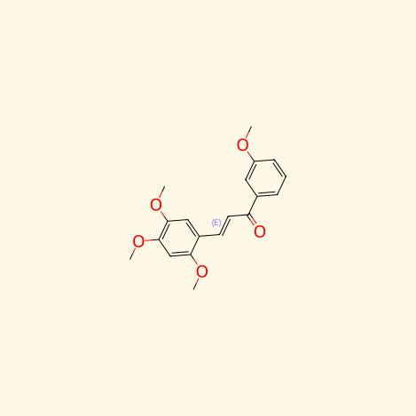 COc1cccc(C(=O)/C=C/c2cc(OC)c(OC)cc2OC)c1